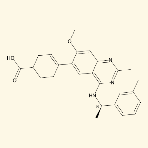 COc1cc2nc(C)nc(N[C@H](C)c3cccc(C)c3)c2cc1C1=CCC(C(=O)O)CC1